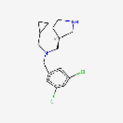 Clc1cc(Cl)cc(CN(CC2CC2)C[C@H]2CCNC2)c1